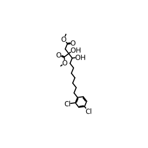 COC(=O)CC(O)(C(=O)OC)C(O)CCCCCCCc1ccc(Cl)cc1Cl